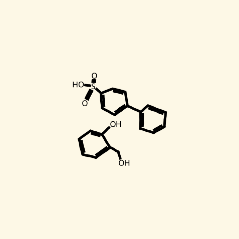 O=S(=O)(O)c1ccc(-c2ccccc2)cc1.OCc1ccccc1O